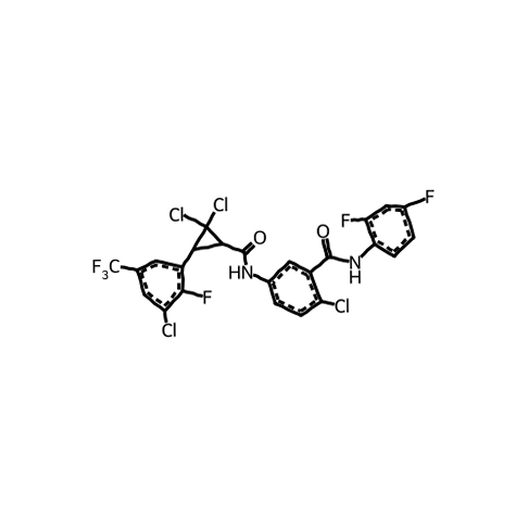 O=C(Nc1ccc(F)cc1F)c1cc(NC(=O)C2C(c3cc(C(F)(F)F)cc(Cl)c3F)C2(Cl)Cl)ccc1Cl